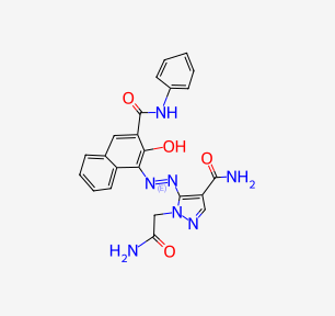 NC(=O)Cn1ncc(C(N)=O)c1/N=N/c1c(O)c(C(=O)Nc2ccccc2)cc2ccccc12